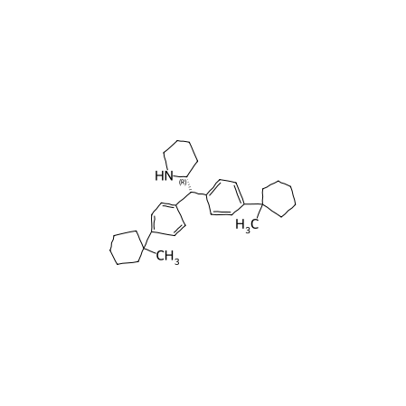 CC1(c2ccc(C(c3ccc(C4(C)CCCCC4)cc3)[C@H]3CCCCN3)cc2)CCCCC1